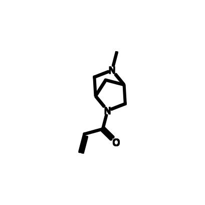 C=CC(=O)N1CC2CC1CN2C